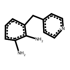 Nc1cccc(Cc2ccncc2)c1N